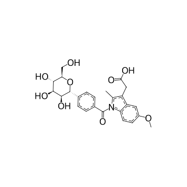 COc1ccc2c(c1)c(CC(=O)O)c(C)n2C(=O)c1ccc([C@H]2O[C@H](CO)[C@@H](O)[C@H](O)[C@@H]2O)cc1